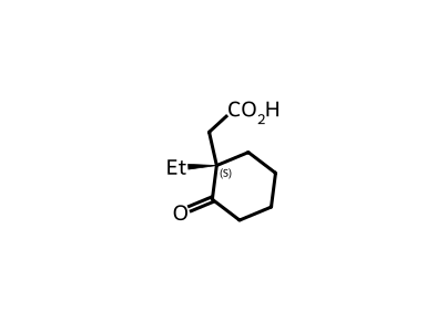 CC[C@@]1(CC(=O)O)CCCCC1=O